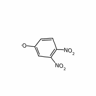 [O]c1ccc([N+](=O)[O-])c([N+](=O)[O-])c1